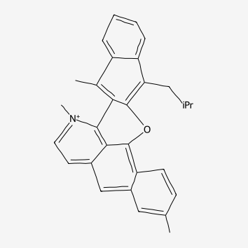 Cc1ccc2c3c4c([n+](C)ccc4cc2c1)-c1c(c(CC(C)C)c2ccccc2c1C)O3